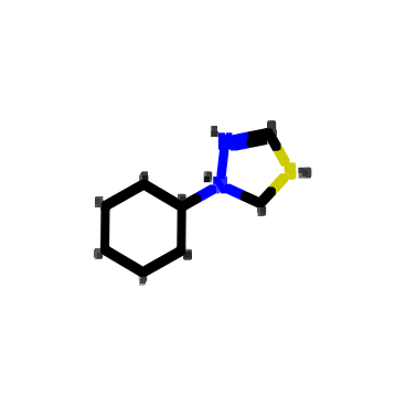 [C]1=NN(C2CCCCC2)CS1